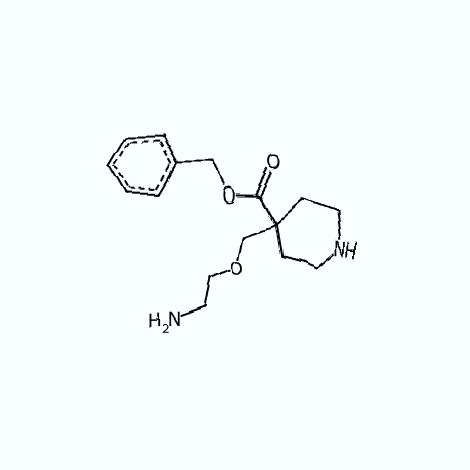 NCCOCC1(C(=O)OCc2ccccc2)CCNCC1